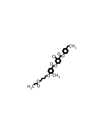 C=CC(=O)OCCCCOc1ccc(C(=O)Oc2ccc(C(=O)Oc3ccc(CC)cc3)c(Cl)c2)cc1C